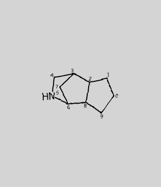 C1CC2C3CNC(C3)C2C1